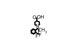 C[C@H](c1ccccc1C(F)(F)F)N1CCC(C(=O)O)CC1